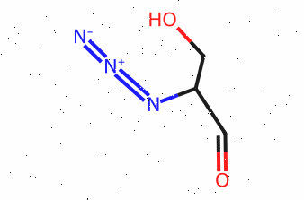 [N-]=[N+]=NC(C=O)CO